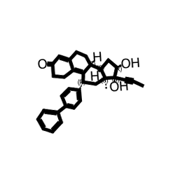 CC#C[C@]1(O)[C@H](O)C[C@H]2[C@@H]3CCC4=CC(=O)CCC4=C3[C@@H](c3ccc(-c4ccccc4)cc3)C[C@@]21C